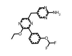 CCOc1ncc(Cc2cnc(N)nc2)nc1-c1cccc(OC(F)F)c1